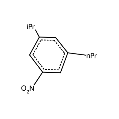 [CH2]C(C)c1cc(CCC)cc([N+](=O)[O-])c1